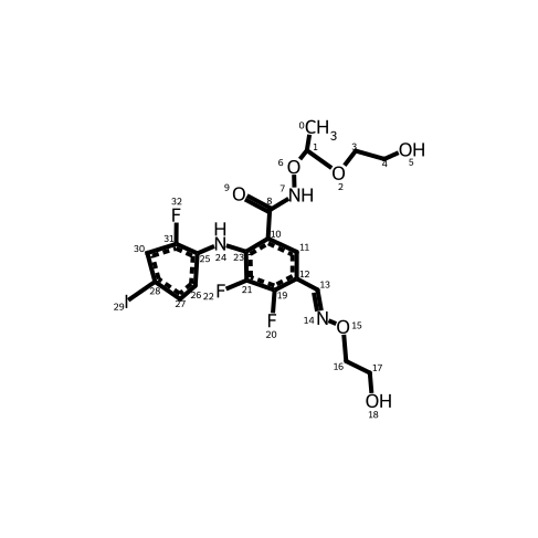 CC(OCCO)ONC(=O)c1cc(/C=N/OCCO)c(F)c(F)c1Nc1ccc(I)cc1F